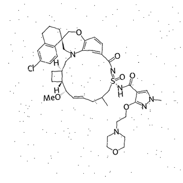 CO[C@H]1/C=C/CC(C)C[S@@](=O)(NC(=O)c2cn(C)nc2OCCN2CCOCC2)=NC(=O)c2ccc3c(c2)N(C[C@@H]2CC[C@H]21)C[C@@]1(CCCc2cc(Cl)ccc21)CO3